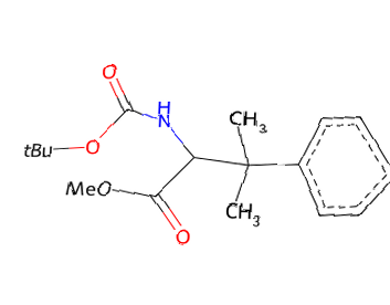 COC(=O)C(NC(=O)OC(C)(C)C)C(C)(C)c1ccccc1